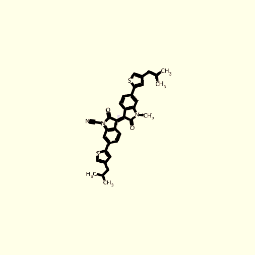 CC(C)Cc1csc(-c2ccc3c(c2)N(C)C(=O)/C3=C2/C(=O)N(C#N)c3cc(-c4cc(CC(C)C)cs4)ccc32)c1